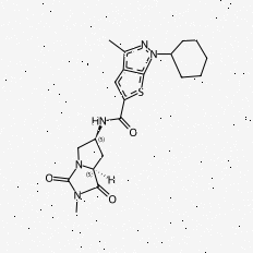 Cc1nn(C2CCCCC2)c2sc(C(=O)N[C@H]3C[C@H]4C(=O)N(C)C(=O)N4C3)cc12